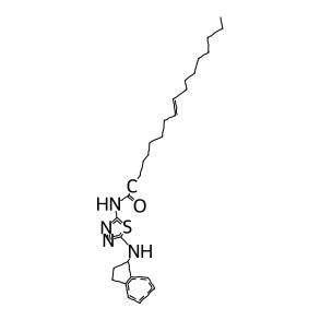 CCCCCCCCC=CCCCCCCCC(=O)Nc1nnc(NC2CCc3ccccc32)s1